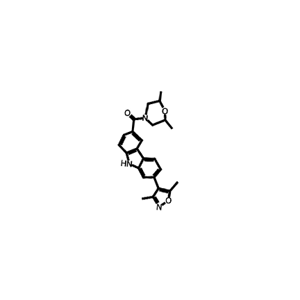 Cc1noc(C)c1-c1ccc2c(c1)[nH]c1ccc(C(=O)N3CC(C)OC(C)C3)cc12